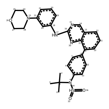 CC(C)(C)N(c1ccc(-c2cccc3cnc(Nc4cccc(N5CCOCC5)c4)nc23)cc1)[SH](=O)=O